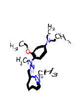 CCOc1cc(N(CC)CC)ccc1N(C)/N=C/c1cccc[n+]1C